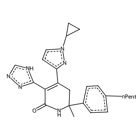 CCCCCc1ccc(C2(C)CC(c3ccn(C4CC4)n3)=C(c3nnc[nH]3)C(=O)N2)cc1